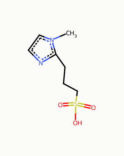 Cn1ccnc1CCCS(=O)(=O)O